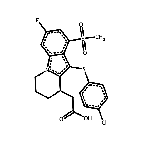 CS(=O)(=O)c1cc(F)cc2c1c(Sc1ccc(Cl)cc1)c1n2CCCC1CC(=O)O